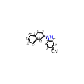 N#Cc1ccc(Nc2ccc3ccccc3c2)cc1